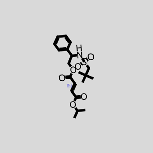 CC(C)OC(=O)/C=C/C(=O)OCC(NS(=O)(=O)CC(C)(C)C)c1ccccc1